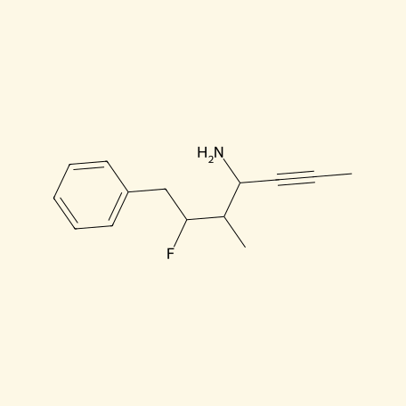 CC#CC(N)C(C)C(F)Cc1ccccc1